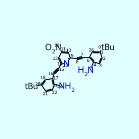 CC(C)(C)c1ccc(N)c(C#Cc2cc([N+](=O)[O-])cc(C#Cc3cc(C(C)(C)C)ccc3N)n2)c1